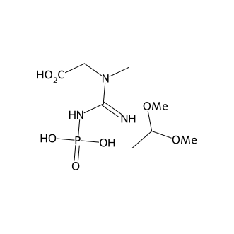 CN(CC(=O)O)C(=N)NP(=O)(O)O.COC(C)OC